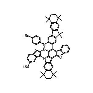 CC(C)(C)c1ccc(N2B3c4sc5ccc(C(C)(C)C)cc5c4-n4c5cc6c(cc5c5c7oc8ccccc8c7c(c3c54)-c3cc4c(cc32)-c2cc3c(cc2C4(C)C)C(C)(C)CCC3(C)C)C(C)(C)CCC6(C)C)cc1